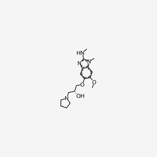 CNc1nc2cc(OC[C@H](O)CN3CCCC3)c(OC)cc2n1C